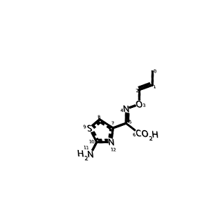 CC=CON=C(C(=O)O)c1csc(N)n1